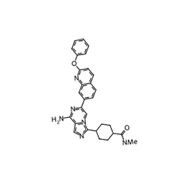 CNC(=O)C1CCC(c2ncc3c(N)nc(-c4ccc5ccc(Oc6ccccc6)nc5c4)cn23)CC1